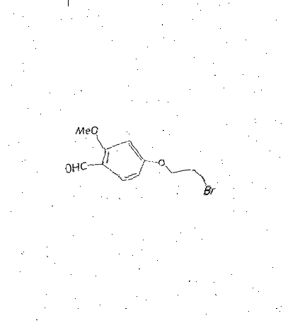 COc1cc(OCCBr)ccc1C=O